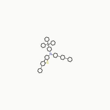 c1ccc(-c2ccc(-c3ccc(N(c4ccc([Si](c5ccccc5)(c5ccccc5)c5ccccc5)cc4)c4ccc5c(c4)sc4cc(-c6ccccc6)ccc45)cc3)cc2)cc1